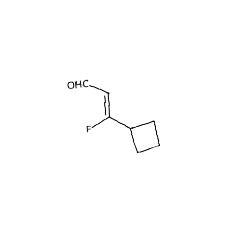 O=CC=C(F)C1CCC1